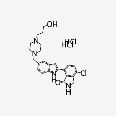 Cl.Cl.O=C1NCc2c(Cl)ccc(-c3cc4cc(CN5CCN(CCCO)CC5)ccc4[nH]3)c21